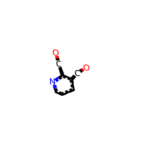 O=C=c1cccnc1=C=O